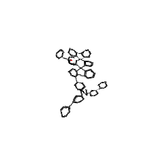 c1ccc(-c2ccc(N(c3ccc(-c4cccc5c4-c4ccccc4C54c5ccccc5C5(c6ccccc6-c6ccccc65)c5cc(-c6ccccc6)ccc54)cc3)c3cccc(-c4ccccc4)c3)cc2)cc1